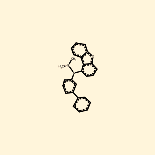 C[SH](C)N(c1cccc(-c2ccccc2)c1)c1cccc2oc3ccccc3c12